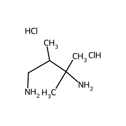 CC(CN)C(C)(C)N.Cl.Cl